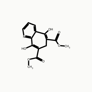 COC(=O)C1=C(O)c2cccnc2C(O)=C(C(=O)OC)C1